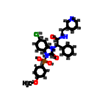 COc1ccc(S(=O)(=O)n2c(=O)n(C(C(=O)NCc3cccnc3)c3ccccc3)c3cc(Cl)ccc32)cc1